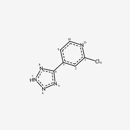 Clc1cc(-c2nn[nH]n2)ccn1